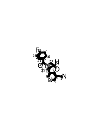 N#Cc1cncc2c1O[C@H]1C[C@@H]2N(C(=O)C23CCC(F)(CC2)C3)C1